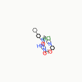 CC(C)(Oc1cccc(N2CCC[C@@H](C(=O)N(Cc3ccc(C4CCCCC4)cc3)C3CC3)C2)c1)C(=O)N1CCNCC1.Cl